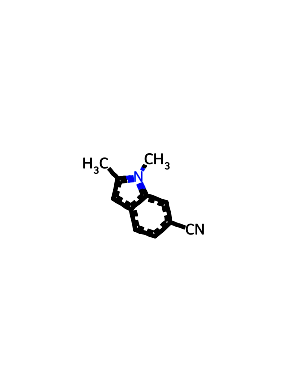 Cc1cc2ccc(C#N)cc2n1C